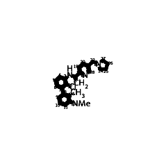 C=C(Nc1cccc(-c2cccc(NC)c2C)c1Cl)c1ccc(CN2CCCC2)cn1